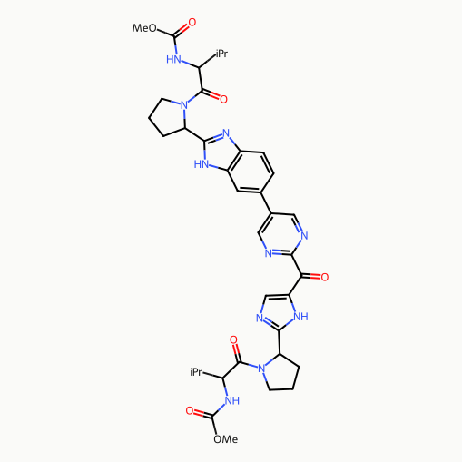 COC(=O)NC(C(=O)N1CCCC1c1ncc(C(=O)c2ncc(-c3ccc4nc(C5CCCN5C(=O)C(NC(=O)OC)C(C)C)[nH]c4c3)cn2)[nH]1)C(C)C